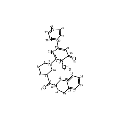 Cn1c(N2CCCC(C(=O)N3CCc4ccccc4C3)C2)nc(-c2ccncn2)cc1=O